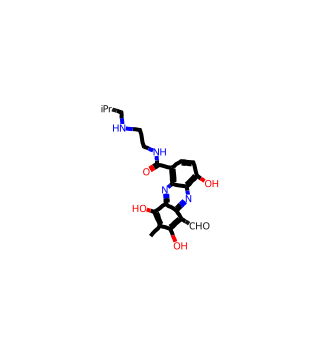 Cc1c(O)c(C=O)c2nc3c(O)ccc(C(=O)NCCNCC(C)C)c3nc2c1O